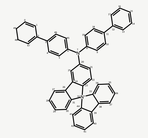 C1=CC(c2ccc(N(c3ccc(-c4ccccc4)cc3)c3ccc4c(c3)-c3ccccc3[N+]43c4ccccc4-c4ccccc43)cc2)=CCC1